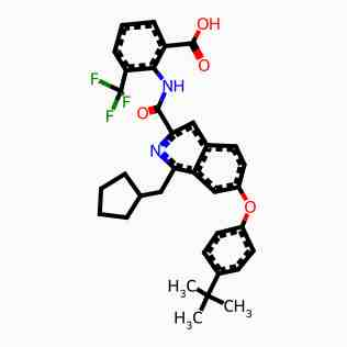 CC(C)(C)c1ccc(Oc2ccc3cc(C(=O)Nc4c(C(=O)O)cccc4C(F)(F)F)nc(CC4CCCC4)c3c2)cc1